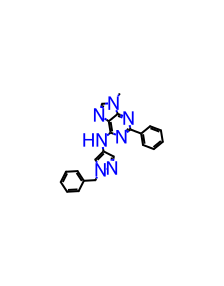 Cn1cnc2c(Nc3cnn(Cc4ccccc4)c3)nc(-c3ccccc3)nc21